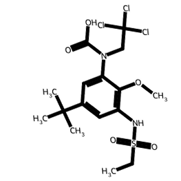 CCS(=O)(=O)Nc1cc(C(C)(C)C)cc(N(CC(Cl)(Cl)Cl)C(=O)O)c1OC